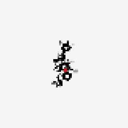 CC(=O)O[C@@H]1[C@@H](n2cc(-c3cc(F)c(C)c(F)c3)nn2)[C@@H](O)[C@@H](CO)O[C@H]1C(=O)N(Cc1ccnn1C)[C@H]1CCCC[C@@H]1O